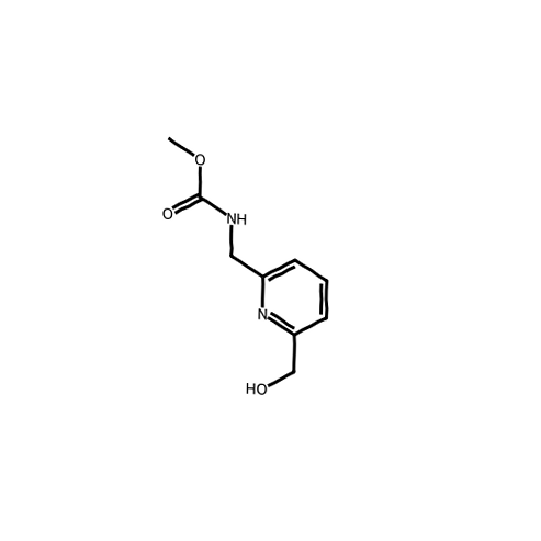 COC(=O)NCc1cccc(CO)n1